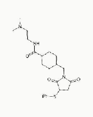 CC(C)SC1CC(=O)N(CC2CCC(C(=O)NCCN(C)C)CC2)C1=O